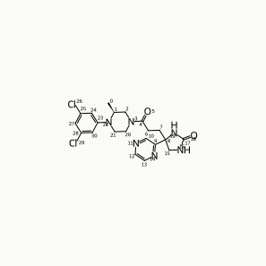 C[C@H]1CN(C(=O)CCC2(c3cnccn3)CNC(=O)N2)CCN1c1cc(Cl)cc(Cl)c1